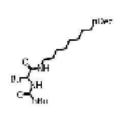 CCCCCCCCCCCCCCCCCCNC(=O)C(NC(=O)CCCC)C(C)CC